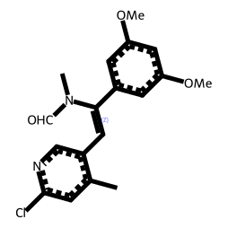 COc1cc(OC)cc(/C(=C/c2cnc(Cl)cc2C)N(C)C=O)c1